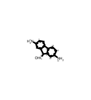 Nc1ccc2c(c1)C(C=O)c1cc(N)ccc1-2